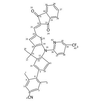 Cc1cc(C#N)cc(C)c1-c1ccc2c(c1)C(C)(C)c1cc(C=C3C(=O)c4ccccc4C3=O)sc1N2c1ccc(C(F)(F)F)cn1